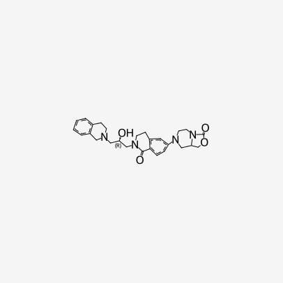 O=C1c2ccc(N3CCN4C(=O)OCC4C3)cc2CCN1C[C@H](O)CN1CCc2ccccc2C1